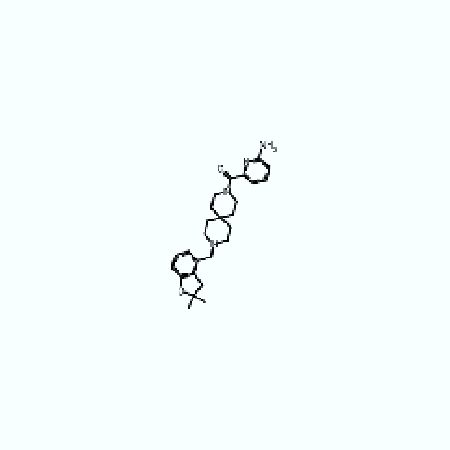 CC1(C)Cc2c(CN3CCC4(CC3)CCN(C(=O)c3cccc(N)n3)CC4)cccc2O1